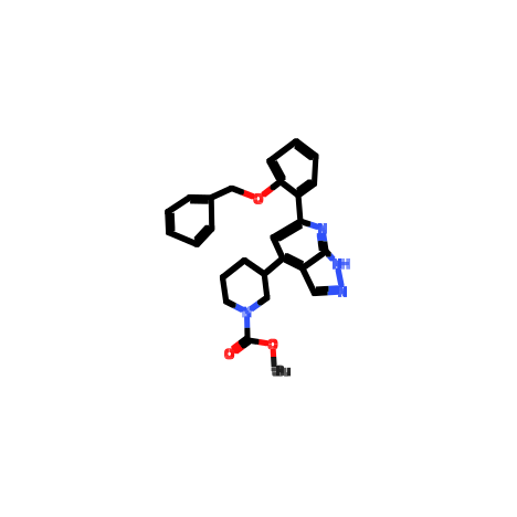 CC(C)(C)OC(=O)N1CCCC(c2cc(-c3ccccc3OCc3ccccc3)nc3[nH]ncc23)C1